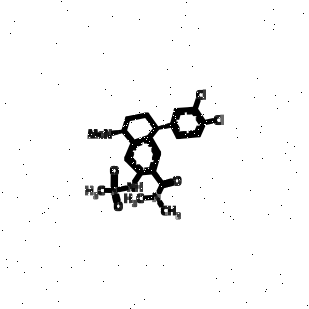 CN[C@H]1CC[C@@H](c2ccc(Cl)c(Cl)c2)c2cc(C(=O)N(C)C)c(NS(C)(=O)=O)cc21